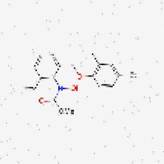 C=Cc1cccc(COc2ccc(CC)cc2C)c1N(O)C(=O)OC